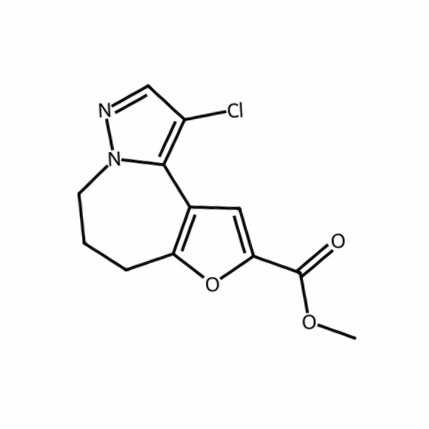 COC(=O)c1cc2c(o1)CCCn1ncc(Cl)c1-2